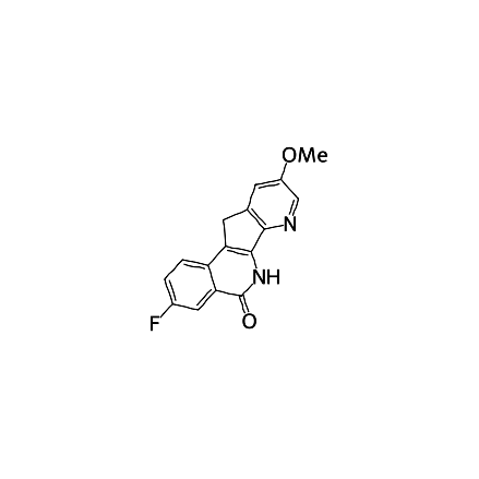 COc1cnc2c(c1)Cc1c-2[nH]c(=O)c2cc(F)ccc12